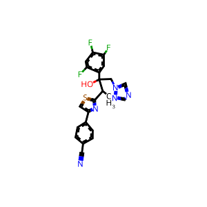 CC(c1nc(-c2ccc(C#N)cc2)cs1)C(O)(Cn1cncn1)c1cc(F)c(F)cc1F